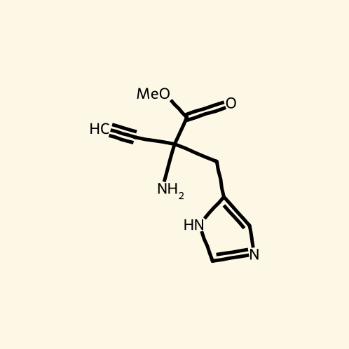 C#CC(N)(Cc1cnc[nH]1)C(=O)OC